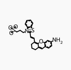 Nc1ccc2c(c1)OC1=C(C=Cc3sc4ccccc4[n+]3CCCS(=O)(=O)[O-])CCCC1=C2